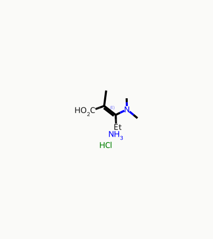 CC/C(=C(/C)C(=O)O)N(C)C.Cl.N